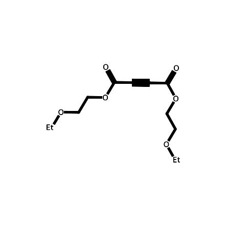 CCOCCOC(=O)C#CC(=O)OCCOCC